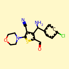 N#Cc1c(N2CCOCC2)sc(C=O)c1C(N)c1ccc(Cl)cc1